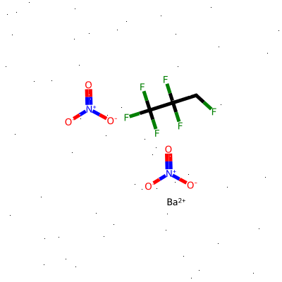 FCC(F)(F)C(F)(F)F.O=[N+]([O-])[O-].O=[N+]([O-])[O-].[Ba+2]